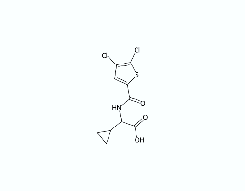 O=C(NC(C(=O)O)C1CC1)c1cc(Cl)c(Cl)s1